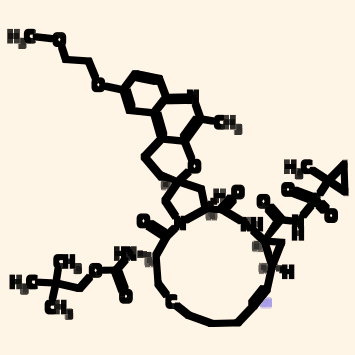 COCCOc1ccc2nc(C)c3c(c2c1)CC[C@]1(C[C@H]2C(=O)N[C@]4(C(=O)NS(=O)(=O)C5(C)CC5)C[C@H]4/C=C\CCCCC[C@H](NC(=O)OCC(C)(C)C)C(=O)N2C1)O3